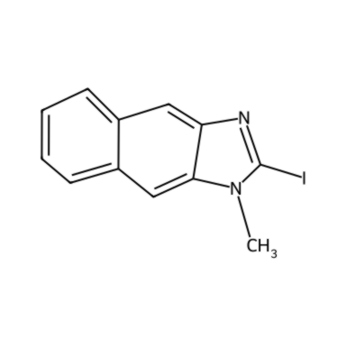 Cn1c(I)nc2cc3ccccc3cc21